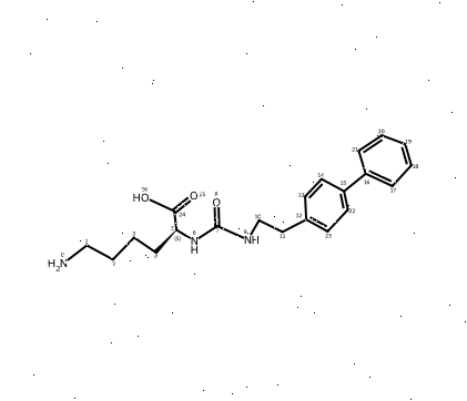 NCCCC[C@H](NC(=O)NCCc1ccc(-c2ccccc2)cc1)C(=O)O